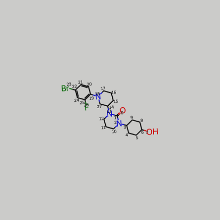 O=C1N(C2CCC(O)CC2)CCCN1C1CCCN(c2ccc(Br)cc2F)C1